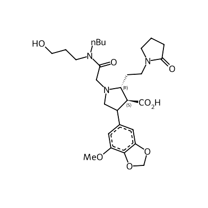 CCCCN(CCCO)C(=O)CN1CC(c2cc(OC)c3c(c2)OCO3)[C@H](C(=O)O)[C@H]1CCN1CCCC1=O